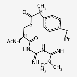 CC(=O)N[C@@H](CSC(=O)[C@H](C)c1ccc(CC(C)C)cc1)C(=O)NC(=N)NC(=N)N(C)C